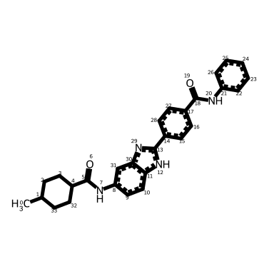 CC1CCC(C(=O)Nc2ccc3[nH]c(-c4ccc(C(=O)Nc5ccccc5)cc4)nc3c2)CC1